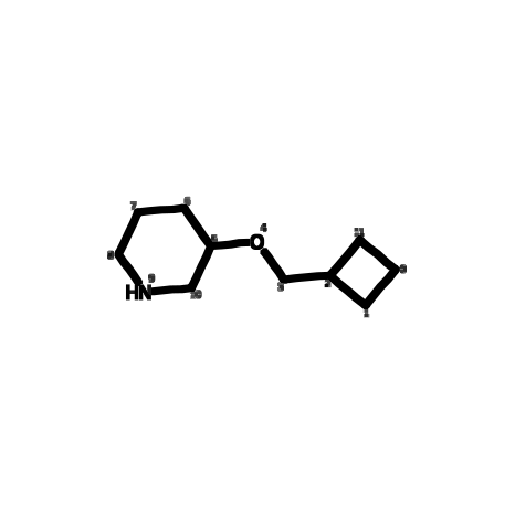 C1CC(COC2CCCNC2)C1